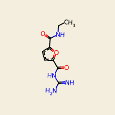 CCNC(=O)c1ccc(C(=O)NC(=N)N)o1